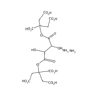 N.N.O=C(O)CC(CC(=O)O)(OC(=O)C(O)C(O)C(=O)OC(CC(=O)O)(CC(=O)O)C(=O)O)C(=O)O